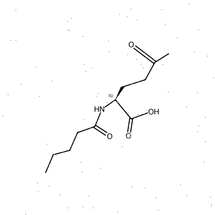 CCCCC(=O)N[C@@H](CCC(C)=O)C(=O)O